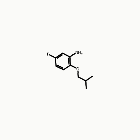 CC(C)COc1ccc(F)cc1N